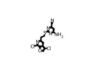 N#Cc1cc(N)nc(SCCc2cc3c(Cl)coc3c(Cl)n2)n1